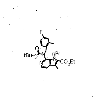 CCCn1c(C(=O)OCC)c(C)c2ccnc(N(Cc3ccc(F)cc3C)C(=O)OC(C)(C)C)c21